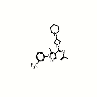 C=C(C)/N=C(\c1cnn(-c2cccc(C(F)(F)F)c2)c1C)N1CC(N2CCCCC2)C1